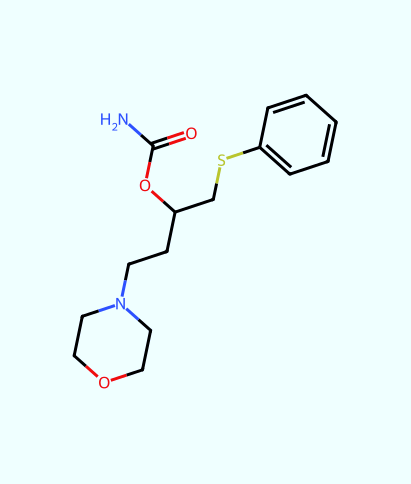 NC(=O)OC(CCN1CCOCC1)CSc1ccccc1